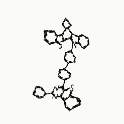 c1ccc(-c2nc(-c3ccc(-c4ccc(-n5c6ccccc6c6c7ccccc7c7c8ccccc8sc7c65)cc4)cc3)c3sc4ccccc4c3n2)cc1